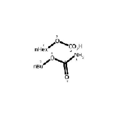 CCCCCCOC(=O)O.CCCCOC(N)=O